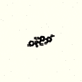 COc1ccc(Cl)c(-c2ccc(N)c(C(=N)NC(=O)C3CCCNC3)c2)c1